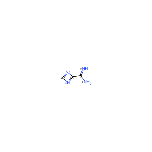 N=C(N)C1=NC=N1